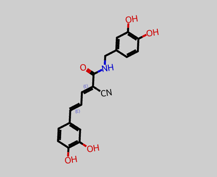 N#C/C(=C\C=C\c1ccc(O)c(O)c1)C(=O)NCc1ccc(O)c(O)c1